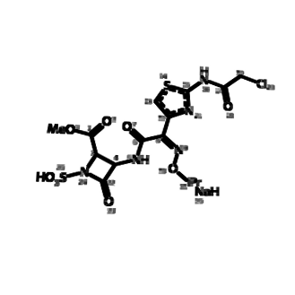 COC(=O)C1C(NC(=O)/C(=N\OC(C)C)c2csc(NC(=O)CCl)n2)C(=O)N1S(=O)(=O)O.[NaH]